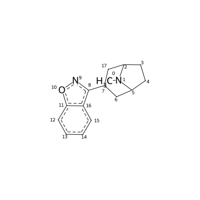 CN1C2CCC1CC(c1noc3ccccc13)C2